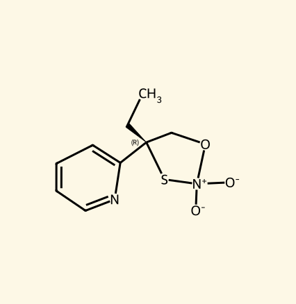 CC[C@@]1(c2ccccn2)CO[N+]([O-])([O-])S1